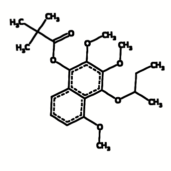 CCC(C)Oc1c(OC)c(OC)c(OC(=O)C(C)(C)C)c2cccc(OC)c12